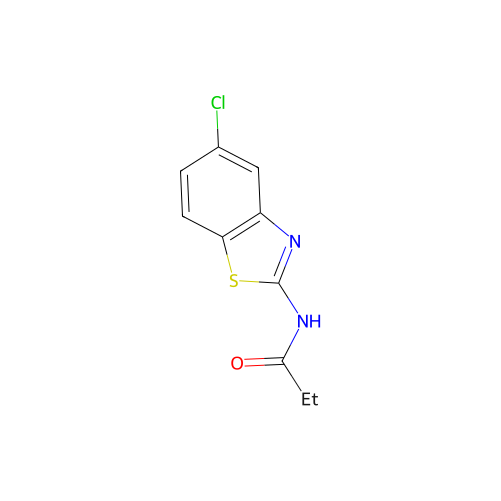 CCC(=O)Nc1nc2cc(Cl)ccc2s1